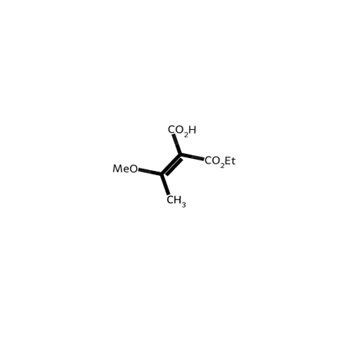 CCOC(=O)C(C(=O)O)=C(C)OC